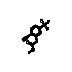 C#Cc1ccc(C(F)(F)F)cc1CC(=O)OC